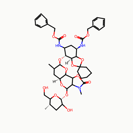 CC1C[C@@H]2OC(O[C@H]3OC(CO)[C@@H](C)CC3O)C3C(OC(=O)N3C)C2O[C@@H]1O[C@@H]1C(NC(=O)OCc2ccccc2)C[C@@H](NC(=O)OCc2ccccc2)C2OC3(CCCCC3)O[C@H]21